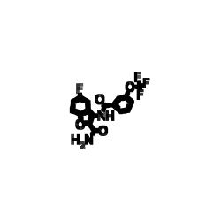 NC(=O)c1oc2ccc(F)cc2c1NC(=O)c1cccc(OC(F)(F)F)c1